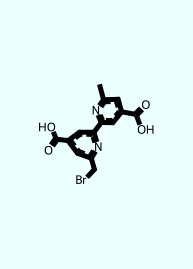 Cc1cc(C(=O)O)cc(-c2cc(C(=O)O)cc(CBr)n2)n1